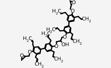 C=CCc1cc(-c2cc(CC=C)c(OCC3CO3)c(CC=C)c2)cc(CC=C)c1OCC(O)COc1c(CC=C)cc(-c2cc(CC=C)c(OCC3CO3)c(CC=C)c2)cc1CC=C